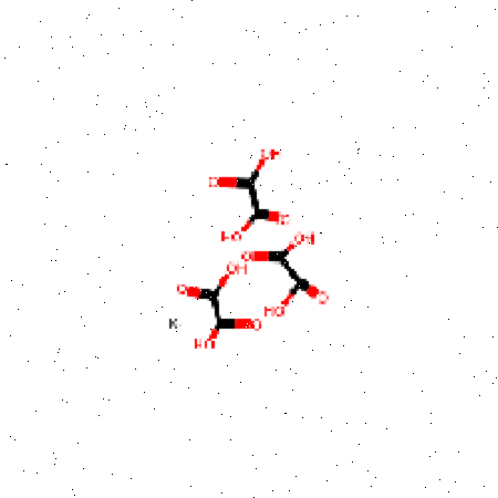 O=C(O)C(=O)O.O=C(O)C(=O)O.O=C(O)C(=O)O.[K]